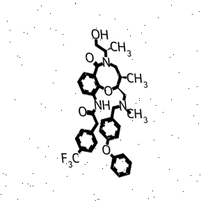 C[C@@H]1CN([C@@H](C)CO)C(=O)c2cccc(NC(=O)Cc3ccc(C(F)(F)F)cc3)c2O[C@@H]1CN(C)Cc1ccc(Oc2ccccc2)cc1